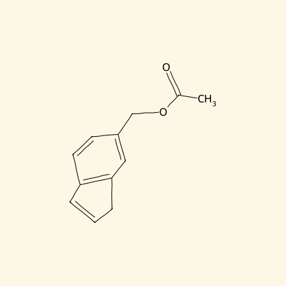 CC(=O)OCc1ccc2c(c1)CC=C2